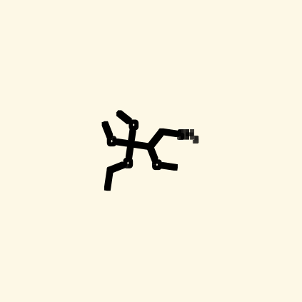 CCOC(OC)(OC)C(C[SiH3])OC